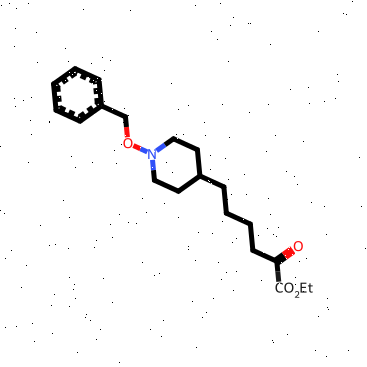 CCOC(=O)C(=O)CCCCC1CCN(OCc2ccccc2)CC1